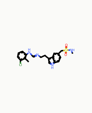 CNS(=O)(=O)Cc1ccc2[nH]cc(CCN=CNc3cccc(Cl)c3C)c2c1